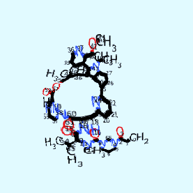 C=CC(=O)N1CCCN(C(=O)N(C)[C@H](C(=O)N[C@H]2Cc3cccc(n3)-c3ccc4c(c3)c(c(-c3cccnc3[C@H](C)OC)n4CC)CC(C)(C)COC(=O)[C@@H]3CCCN(N3)C2=O)C(C)C)C1